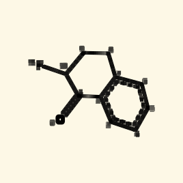 O=C1c2ccccc2CCC1F